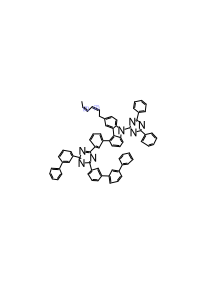 C/C=C\C=C/Cc1ccc2c(c1)c1c(-c3cccc(-c4nc(-c5cccc(-c6ccccc6)c5)nc(-c5cccc(-c6cccc(-c7ccccc7)c6)c5)n4)c3)cccc1n2-c1nc(-c2ccccc2)nc(-c2ccccc2)n1